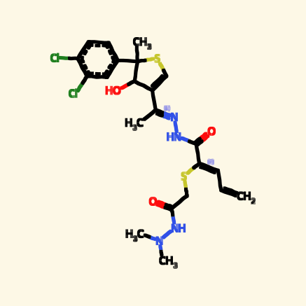 C=C/C=C(\SCC(=O)NN(C)C)C(=O)N/N=C(\C)C1=CSC(C)(c2ccc(Cl)c(Cl)c2)C1O